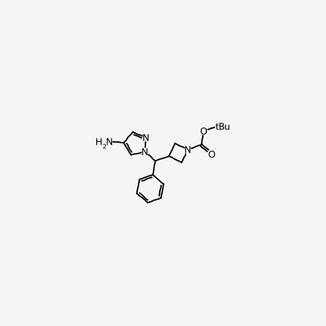 CC(C)(C)OC(=O)N1CC(C(c2ccccc2)n2cc(N)cn2)C1